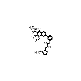 CCN1CCCC1CNC(=O)Cc1cccc(-c2ccc3c(=O)c(C(=O)NC)c(N)n(CC)c3n2)c1